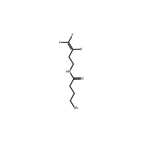 C[C](C)CCCC(=O)NCCC(F)=C(F)F